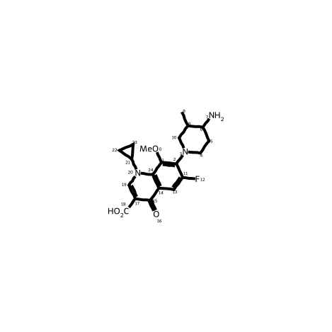 COc1c(N2CCC(N)C(C)C2)c(F)cc2c(=O)c(C(=O)O)cn(C3CC3)c12